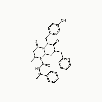 C[C@@H](NC(=O)N1C2CN(Cc3ccccn3)C(=O)[C@H](Cc3ccc(O)cc3)N2C(=O)CN1C)c1ccccc1